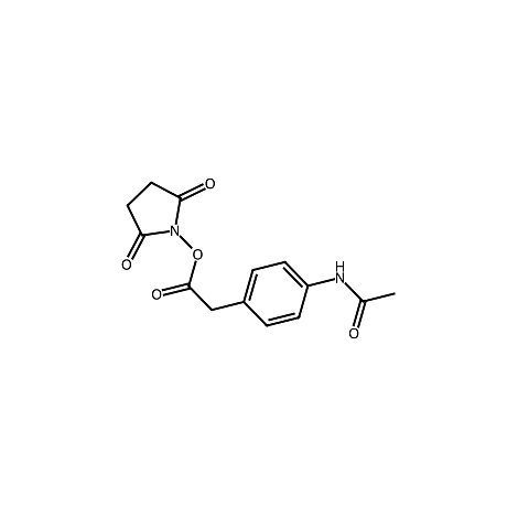 CC(=O)Nc1ccc(CC(=O)ON2C(=O)CCC2=O)cc1